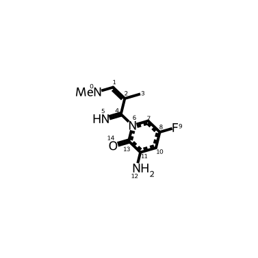 CN/C=C(/C)C(=N)n1cc(F)cc(N)c1=O